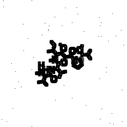 CCC(C)C(C(CC(=O)N1CCC[C@H]1C(OC)C(C)C)OC)N(C)C(=O)C(NC(=O)C(NC)C(C)C)C(C)C